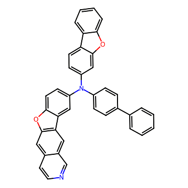 c1ccc(-c2ccc(N(c3ccc4c(c3)oc3ccccc34)c3ccc4oc5cc6ccncc6cc5c4c3)cc2)cc1